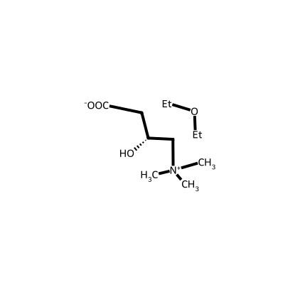 CCOCC.C[N+](C)(C)C[C@H](O)CC(=O)[O-]